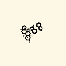 C[C@]12CCC(=O)C[C@@H]1CC[C@@H]1[C@@H]2CC[C@]2(C)C=CC[C@@H]12.Cc1c[nH]c2ccccc12.c1ccc2[nH]ccc2c1